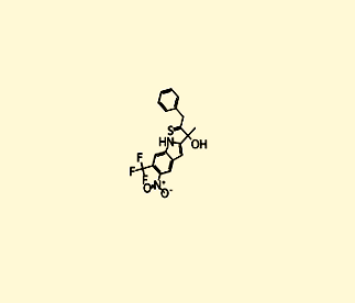 CC(O)(C(=S)Cc1ccccc1)c1cc2cc([N+](=O)[O-])c(C(F)(F)F)cc2[nH]1